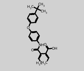 C/C=C(C(=O)O)\C(=C/C)C(=O)Nc1ccc(Oc2ccc(C(C)(C)C)cc2)cc1